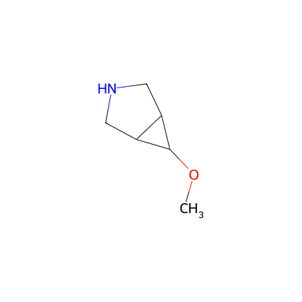 COC1C2CNCC21